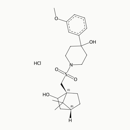 COc1cccc(C2(O)CCN(S(=O)(=O)C[C@]34CC[C@H](CC3O)C4(C)C)CC2)c1.Cl